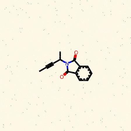 CC#CC(C)N1C(=O)c2ccccc2C1=O